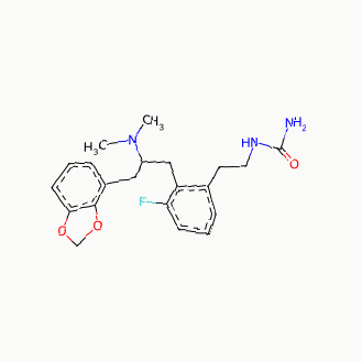 CN(C)C(Cc1cccc2c1OCO2)Cc1c(F)cccc1CCNC(N)=O